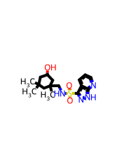 CC1(C)CC(O)CC(C)(CNS(=O)(=O)c2n[nH]c3ncccc23)C1